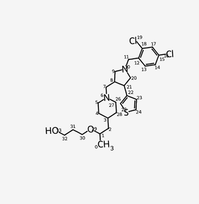 CC(CC1CCN(CC2CN(Cc3ccc(Cl)cc3Cl)CC2c2ccsc2)CC1)OCCCO